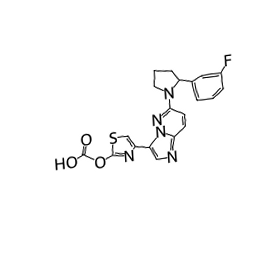 O=C(O)Oc1nc(-c2cnc3ccc(N4CCCC4c4cccc(F)c4)nn23)cs1